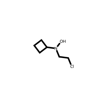 ON(CCCl)C1CCC1